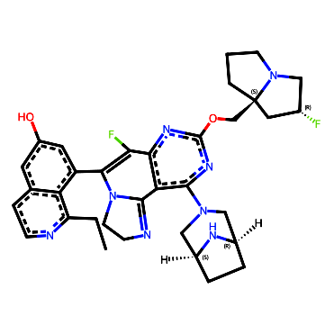 CCc1nccc2cc(O)cc(C3=C(F)c4nc(OC[C@@]56CCCN5C[C@H](F)C6)nc(N5C[C@H]6CC[C@@H](C5)N6)c4C4=NCCN43)c12